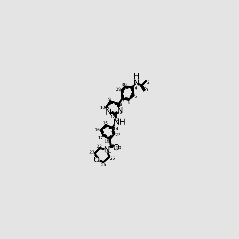 C=C(C)Nc1ccc(-c2ccnc(Nc3cccc(C(=O)N4CCOCC4)c3)n2)cc1